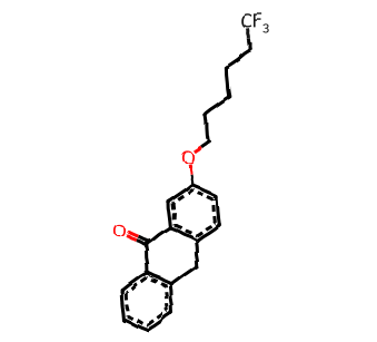 O=C1c2ccccc2Cc2ccc(OCCCCCC(F)(F)F)cc21